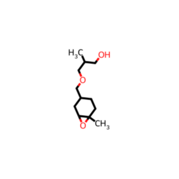 CC(CO)COCC1CCC2(C)OC2C1